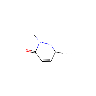 COC1C=CC(=O)N(C)N1